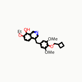 CCOc1ccc2c(Cc3cc(OC)c(OCC4CCC4)c(OC)c3)cncc2c1O